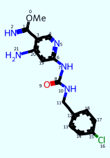 COC(=N)c1cnc(NC(=O)NCc2ccc(Cl)cc2)cc1N